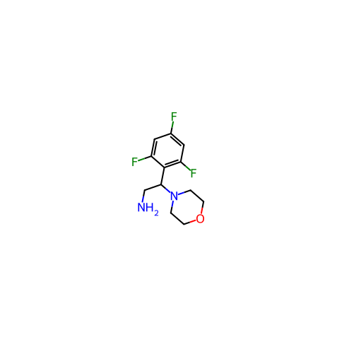 NCC(c1c(F)cc(F)cc1F)N1CCOCC1